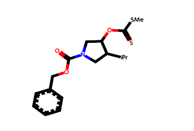 CSC(=S)OC1CN(C(=O)OCc2ccccc2)CC1C(C)C